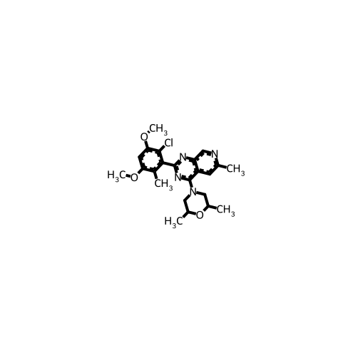 COc1cc(OC)c(Cl)c(-c2nc(N3CC(C)OC(C)C3)c3cc(C)ncc3n2)c1C